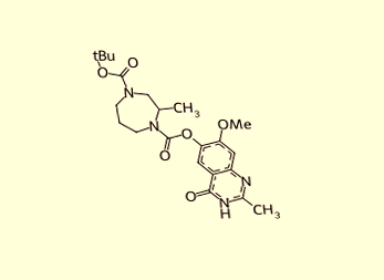 COc1cc2nc(C)[nH]c(=O)c2cc1OC(=O)N1CCCN(C(=O)OC(C)(C)C)CC1C